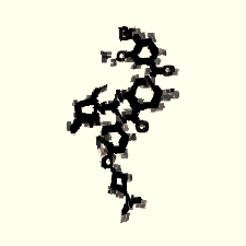 Cc1cc(C)n(-c2nc3c(c(=O)n2-c2ccc(O[C@H]4C[C@@H](N(C)C)C4)nc2)C[C@@H](C)N(C(=O)c2ccc(Br)c(C(F)(F)F)c2)C3)n1